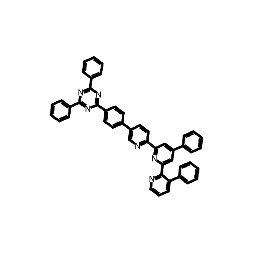 c1ccc(-c2cc(-c3ccc(-c4ccc(-c5nc(-c6ccccc6)nc(-c6ccccc6)n5)cc4)cn3)nc(-c3ncccc3-c3ccccc3)c2)cc1